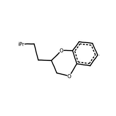 CC(C)CCC1COc2c[c]ccc2O1